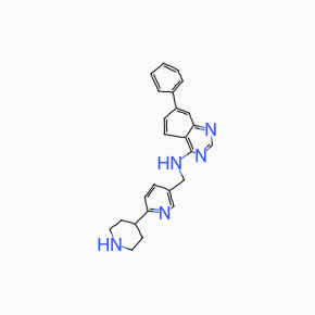 c1ccc(-c2ccc3c(NCc4ccc(C5CCNCC5)nc4)ncnc3c2)cc1